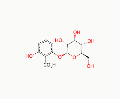 O=C(O)c1c(O)cccc1O[C@@H]1O[C@H](CO)[C@@H](O)[C@H](O)[C@H]1O